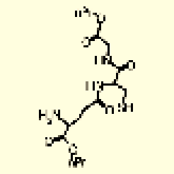 CCCOC(=O)CNC(=O)C(CS)NC(=O)CCC(N)C(=O)OCCC